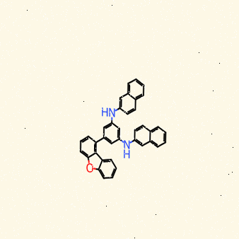 c1ccc2cc(Nc3cc(Nc4ccc5ccccc5c4)cc(-c4cccc5oc6ccccc6c45)c3)ccc2c1